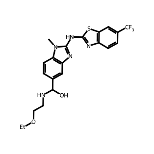 CCOCCNC(O)c1ccc2c(c1)nc(Nc1nc3ccc(C(F)(F)F)cc3s1)n2C